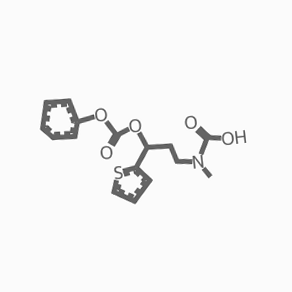 CN(CCC(OC(=O)Oc1ccccc1)c1cccs1)C(=O)O